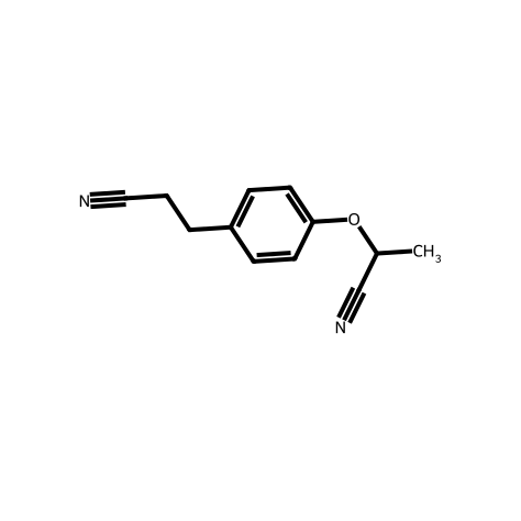 CC(C#N)Oc1ccc(CCC#N)cc1